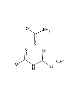 CCC(CC)NC([O-])=S.NC([O-])=S.[Cu+2]